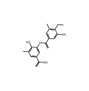 C=C(O)c1cc(C)c(O)c(OC(=C)c2cc(C)c(CC)c(O)c2)c1